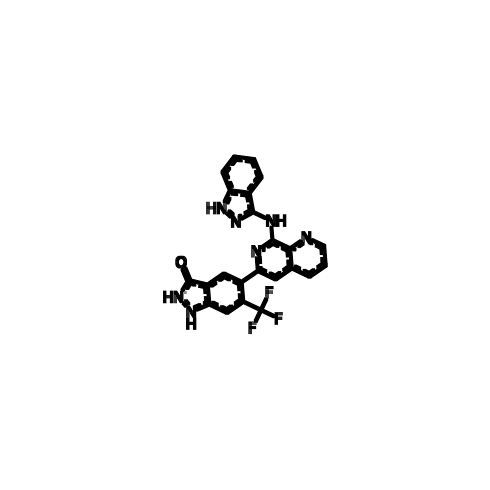 O=c1[nH][nH]c2cc(C(F)(F)F)c(-c3cc4cccnc4c(Nc4n[nH]c5ccccc45)n3)cc12